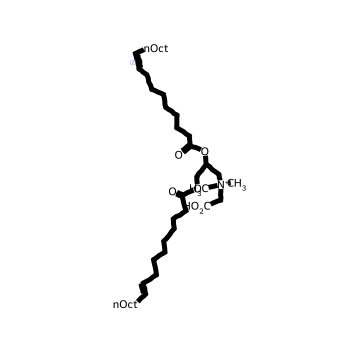 CCCCCCCCC=CCCCCCCCC(=O)OCC(C[N+](C)(C)CC(=O)O)OC(=O)CCCCCCC/C=C\CCCCCCCC